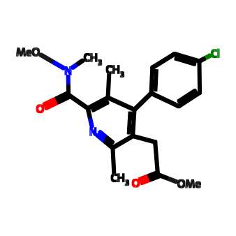 COC(=O)Cc1c(C)nc(C(=O)N(C)OC)c(C)c1-c1ccc(Cl)cc1